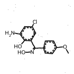 COc1ccc(C(=NO)c2cc(Cl)cc(N)c2O)cc1